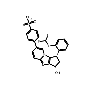 CS(=O)(=O)c1ccc(-c2ccc3nc4c(n3c2)[C@H](c2ccccc2OC(F)F)C[C@@H]4O)cc1